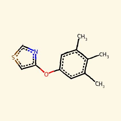 Cc1cc(Oc2cs[c]n2)cc(C)c1C